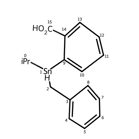 C[CH](C)[SnH]([CH2]c1ccccc1)[c]1ccccc1C(=O)O